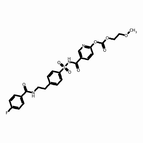 COCCOC(=O)Oc1ccc(C(=O)NS(=O)(=O)c2ccc(CCNC(=O)c3ccc(F)cc3)cc2)cn1